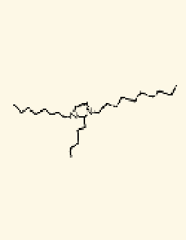 CCCCCCCCCCN1C=CN(CCCCCCCC)C1CCCCC